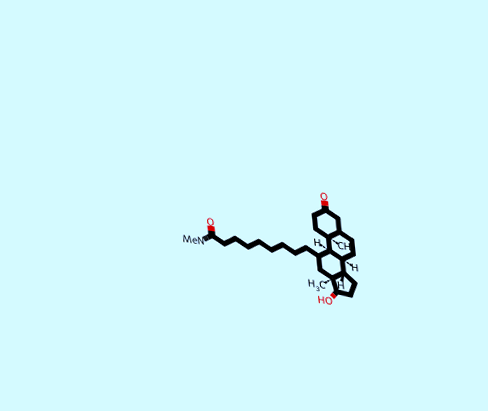 CNC(=O)CCCCCCCCC1C[C@]2(C)C(O)CC[C@H]2[C@@H]2CCC3CC(=O)CC[C@]3(C)[C@H]12